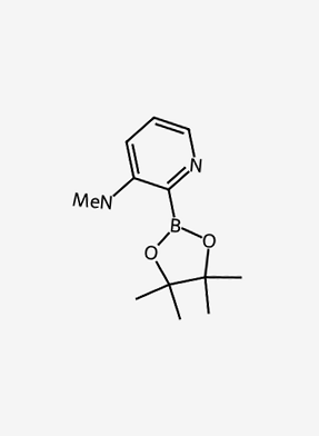 CNc1cccnc1B1OC(C)(C)C(C)(C)O1